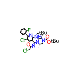 C[C@@H]1CN(/C(=N/C(=O)CCl)c2cc(Cl)c(-c3ccccc3F)nc2NCC(C)(C)C)[C@@H](C)CN1C(=O)OC(C)(C)C